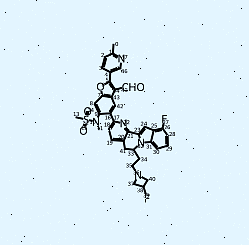 Cc1ccc(-c2oc3cc(N(C)S(C)(=O)=O)c(-c4ccc5c(n4)-c4cc6c(F)cccc6n4C(CCN4CC(F)C4)C5)cc3c2C=O)cn1